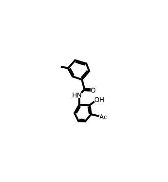 CC(=O)c1cccc(NC(=O)c2cccc(C)c2)c1O